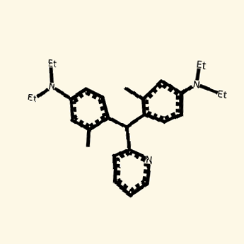 CCN(CC)c1ccc(C(c2ccccn2)c2ccc(N(CC)CC)cc2C)c(C)c1